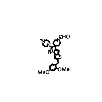 COc1ccc(Cc2cc3[nH]c(C4(C(=O)N5CCN(C)CC5)CCN(C=O)CC4)cc3s2)c(OC)c1